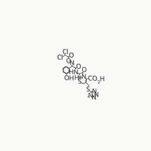 Cn1nnnc1SCC1=C(C(=O)O)N2C(=O)C(NC(=O)/C(=N/OC(=O)C(Cl)Cl)c3cccc(O)c3)[C@H]2SC1